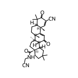 CC1(C)CC[C@]2(C(=O)NCC#N)CC[C@]3(C)[C@H](C(=O)C=C4[C@@]5(C)C=C(C#N)C(=O)C(C)(C)[C@@H]5CC[C@]43C)[C@@H]2C1